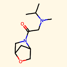 CC(C)N(C)CC(=O)N1CC2CC1CO2